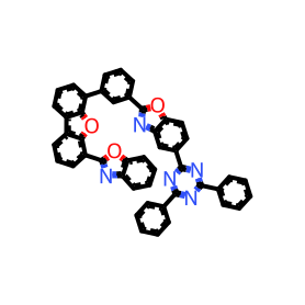 c1ccc(-c2nc(-c3ccccc3)nc(-c3ccc4oc(-c5cccc(-c6cccc7c6oc6c(-c8nc9ccccc9o8)cccc67)c5)nc4c3)n2)cc1